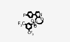 O=S(=O)(c1cc(C(F)(F)F)cc(C(F)(F)F)c1)N1CCCOc2nccc(-c3ccc(F)cc3)c2C1